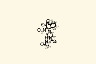 Cn1c(=O)c([N+](=O)[O-])c(N2CCN(C(=O)C3CCC(=O)N3)CC2)c2ccccc21